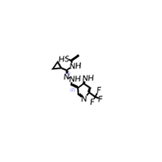 C=C(S)N/C(=N\N/C=C1/C=NC(C(F)(F)F)=CC1=N)C1CC1